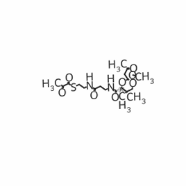 COC1(CC(C)=O)OCC(C)(C)[C@H](C(=O)NCCC(=O)NCCSC(=O)C(C)=O)O1